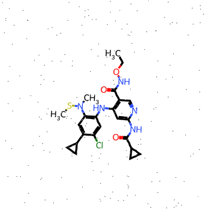 CCONC(=O)c1cnc(NC(=O)C2CC2)cc1Nc1cc(Cl)c(C2CC2)cc1N(C)SC